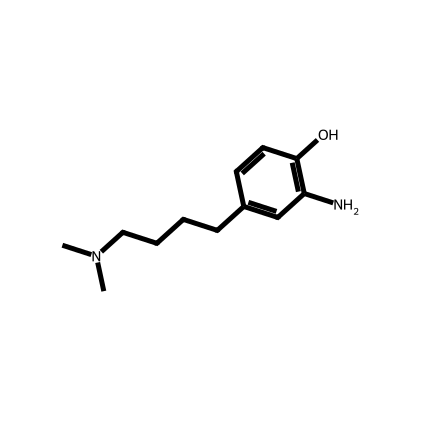 CN(C)CCCCc1ccc(O)c(N)c1